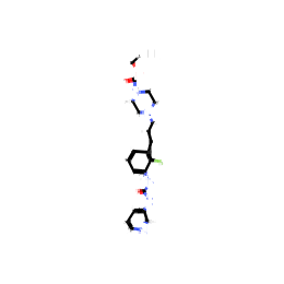 CCOC(=O)N1CCN(CCCc2cccc(NC(=O)Nc3cccnc3)c2F)CC1